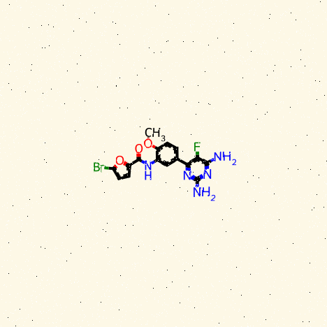 COc1ccc(-c2nc(N)nc(N)c2F)cc1NC(=O)c1ccc(Br)o1